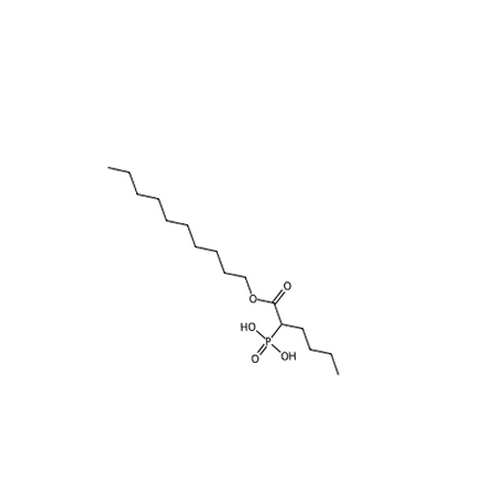 CCCCCCCCCCOC(=O)C(CCCC)P(=O)(O)O